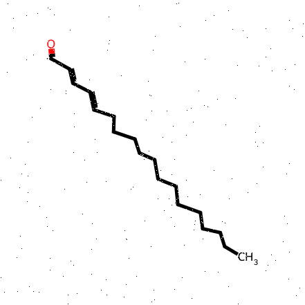 CCCCCCCCCCCCC/C=C/C=C/[C]=O